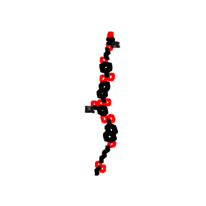 C=CC(=O)OCCCCCCOc1ccc2cc(C(=O)Oc3ccc(OC(=O)c4ccc5cc(OC(=O)c6ccc(OCCCCOCC7(CC)COC7)cc6)ccc5c4)c(C(=O)CC)c3)ccc2c1